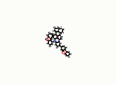 c1ccc(-c2cccc3cccc(-c4ccc(N(c5ccc(-c6ccc7c(c6)oc6ccccc67)cc5)c5cccc6oc7ccccc7c56)cc4)c23)cc1